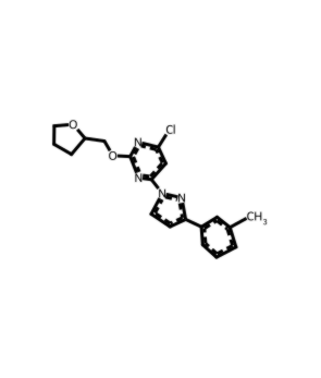 Cc1cccc(-c2ccn(-c3cc(Cl)nc(OCC4CCCO4)n3)n2)c1